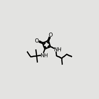 CCC(C)CNc1c(NC(C)(C)CC)c(=O)c1=O